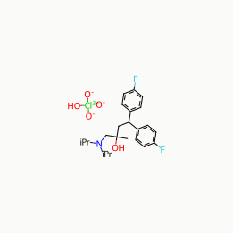 CC(C)N(CC(C)(O)CC(c1ccc(F)cc1)c1ccc(F)cc1)C(C)C.[O-][Cl+3]([O-])([O-])O